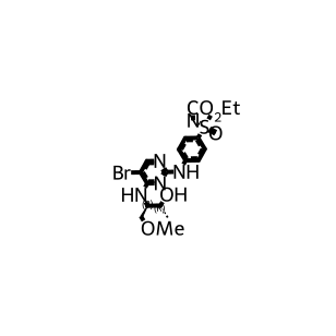 CCOC(=O)N=S(C)(=O)c1ccc(Nc2ncc(Br)c(N[C@H](COC)[C@@H](C)O)n2)cc1